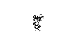 Cc1cccc(CN2C(=O)CC(=O)[C@@H]3CC(F)(F)CN32)c1F